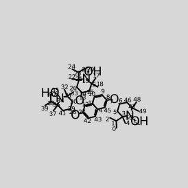 CC(C)C1(C)CC(Oc2ccc3c(OC4CC(C)(C)N(O)C(C)(C(C)C)C4)c(OC4CC(C)(C)N(O)C(C)(C(C)C)C4)ccc3c2)CC(C)(C)N1O